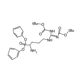 CC(C)(C)OC(=O)/N=C(/NCCCC(N)P(=O)(Oc1ccccc1)Oc1ccccc1)NC(=O)OC(C)(C)C